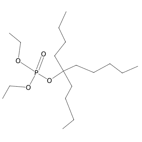 CCCCCC(CCCC)(CCCC)OP(=O)(OCC)OCC